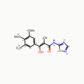 COc1cc(/C(O)=C(\C#N)C(=O)Nc2ncns2)cc([N+](=O)[O-])c1OC